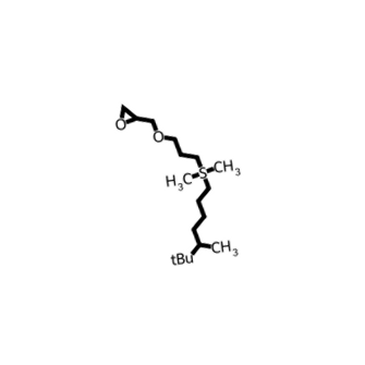 CC(CCCCS(C)(C)CCCOCC1CO1)C(C)(C)C